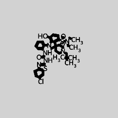 CCN(CC)S(=O)(=O)c1ccc(O)c2c1C1(CCN(CC(C)(C)C)CC1)CN2c1ccccc1NC(=O)Nc1nc2ccc(Cl)cc2s1